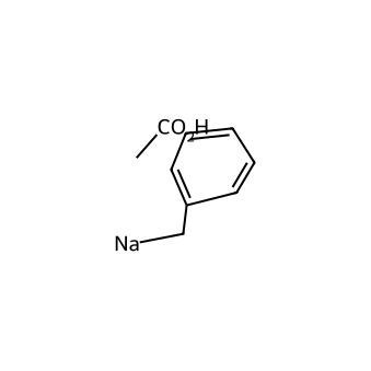 CC(=O)O.[Na][CH2]c1ccccc1